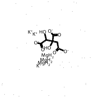 O=C([O-])CC(O)(C(=O)[O-])C(O)C(=O)[O-].[K+].[K+].[K+].[MgH2].[MgH2].[MgH2]